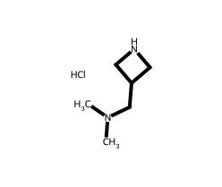 CN(C)CC1CNC1.Cl